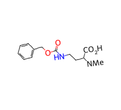 CNC(CCNC(=O)OCc1ccccc1)C(=O)O